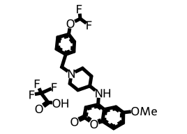 COc1ccc2oc(=O)cc(NC3CCN(Cc4ccc(OC(F)F)cc4)CC3)c2c1.O=C(O)C(F)(F)F